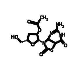 CC(=O)O[C@@H]1C[C@@H](CO)O[C@H]1N1C(=O)SC2C(=O)NC(N)=NC21